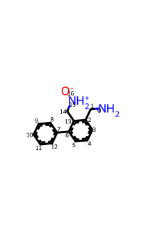 NCc1cccc(-c2ccccc2)c1C[NH2+][O-]